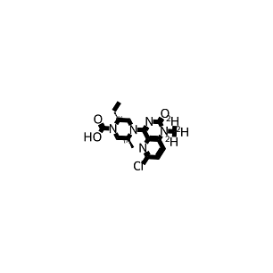 [2H]C([2H])([2H])n1c(=O)nc(N2C[C@@H](CC)N(C(=O)O)C[C@@H]2C)c2nc(Cl)ccc21